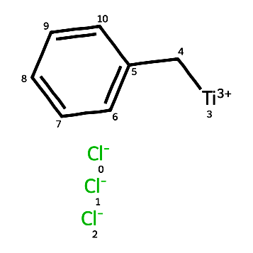 [Cl-].[Cl-].[Cl-].[Ti+3][CH2]c1ccccc1